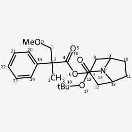 COCC(C)(C(=O)OC1CC2CCC(C1)N2C(=O)OC(C)(C)C)c1ccccc1